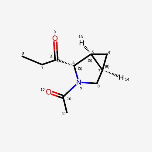 CCC(=O)[C@@H]1[C@H]2C[C@H]2CN1C(C)=O